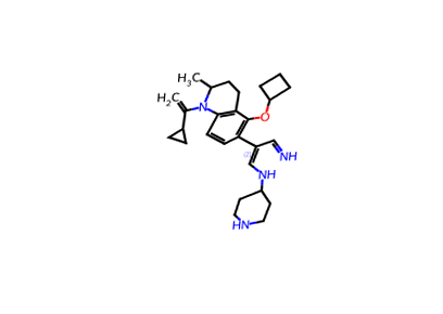 C=C(C1CC1)N1c2ccc(/C(C=N)=C/NC3CCNCC3)c(OC3CCC3)c2CCC1C